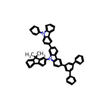 CC1(C)c2ccccc2-c2ccc(-n3c4ccc(-c5cc(-c6ccccc6)cc(-c6ccccc6)c5)cc4c4ccc(-c5ccc6c(c5)c5ccccc5n6-c5ccccc5)cc43)cc21